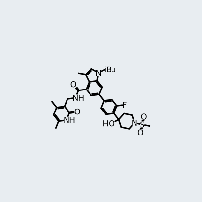 CCC(C)n1cc(C)c2c(C(=O)NCc3c(C)cc(C)[nH]c3=O)cc(-c3ccc(C4(O)CCN(S(C)(=O)=O)CC4)c(F)c3)cc21